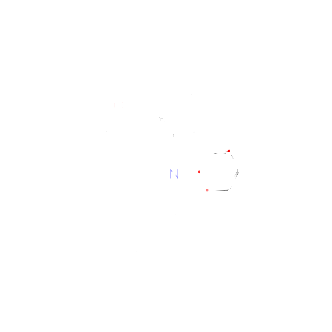 c1ccc(-c2ccc(N(c3ccc4oc5ccccc5c4c3)c3ccccc3-c3cccc(-c4ccccc4)c3-c3ccccc3-c3ccccc3)cc2)cc1